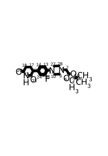 CC(C)(C)OC(=O)CN1CCN(c2ccc(C3CCC(=O)NC3=O)cc2F)CC1